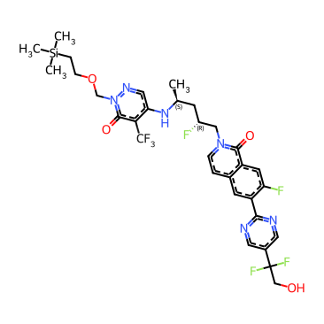 C[C@@H](C[C@@H](F)Cn1ccc2cc(-c3ncc(C(F)(F)CO)cn3)c(F)cc2c1=O)Nc1cnn(COCC[Si](C)(C)C)c(=O)c1C(F)(F)F